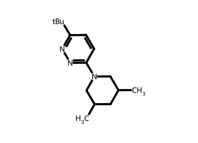 CC1CC(C)CN(c2ccc(C(C)(C)C)nn2)C1